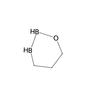 B1BOCCC1